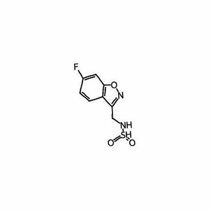 O=[SH](=O)NCc1noc2cc(F)ccc12